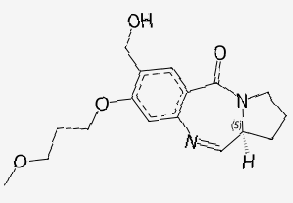 COCCCOc1cc2c(cc1CO)C(=O)N1CCC[C@H]1C=N2